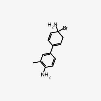 Cc1cc(C2=CCC(N)(Br)C=C2)ccc1N